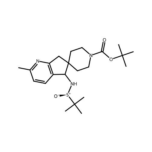 Cc1ccc2c(n1)CC1(CCN(C(=O)OC(C)(C)C)CC1)C2N[S@+]([O-])C(C)(C)C